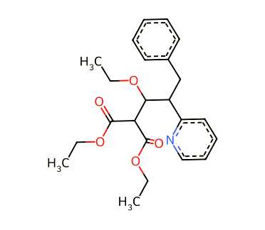 CCOC(=O)C(C(=O)OCC)C(OCC)C(Cc1ccccc1)c1ccccn1